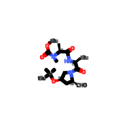 C[C@@H](C(=O)N[C@H](C(=O)N1C[C@H](O[Si](C)(C)C(C)(C)C)C[C@H]1C=O)C(C)(C)C)N(C)C(=O)OC(C)(C)C